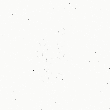 c1ccc(-c2ccc(-c3cc(-c4cc(-c5cccc6c5oc5ccccc56)cc(-c5nc6ccccc6c6c5sc5ccccc56)c4)nc(-c4ccccc4)n3)cc2)cc1